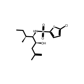 C=C(C)C[C@H](O)[C@H](NS(=O)(=O)c1ccc(Cl)s1)[C@@H](C)CC